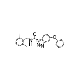 Cc1cccc(C)c1CNC(=O)n1nnc2cc(Oc3ccccc3)ccc21